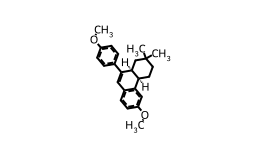 COc1ccc(C2=Cc3ccc(OC)cc3[C@@H]3CCC(C)(C)C[C@H]23)cc1